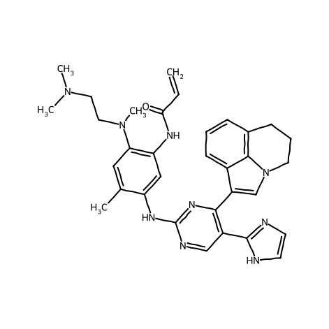 C=CC(=O)Nc1cc(Nc2ncc(-c3ncc[nH]3)c(-c3cn4c5c(cccc35)CCC4)n2)c(C)cc1N(C)CCN(C)C